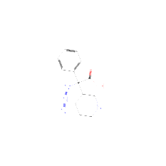 [N-]=[N+]=NC(C(=O)O)(c1ccccc1)C1CCCNC1